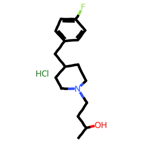 CC(O)CCN1CCC(Cc2ccc(F)cc2)CC1.Cl